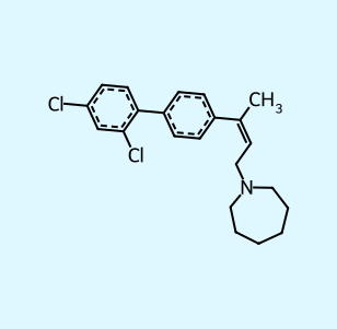 CC(=CCN1CCCCCC1)c1ccc(-c2ccc(Cl)cc2Cl)cc1